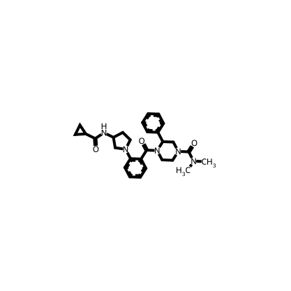 CN(C)C(=O)N1CCN(C(=O)c2ccccc2N2CCC(NC(=O)C3CC3)C2)C(c2ccccc2)C1